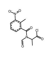 Cc1c(C(=O)N(C=O)C(C)C(=O)Cl)cccc1[N+](=O)[O-]